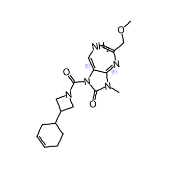 C=C(COC)/N=C1\C(=C/N)N(C(=O)N2CC(C3CC=CCC3)C2)C(=O)N1C